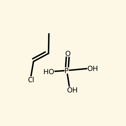 CC=CCl.O=P(O)(O)O